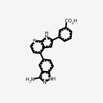 Nc1n[nH]c2ccc(-c3ccnc4[nH]c(-c5cccc(C(=O)O)c5)cc34)cc12